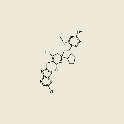 COc1ccc(CCC2(C3CCCC3)CC(O)=C(Cc3nc4ncc(Cl)cn4n3)C(=O)O2)c(OC)c1